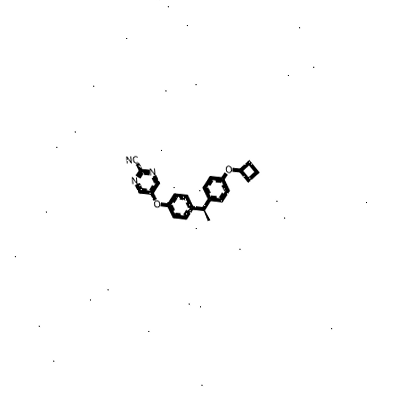 C[C@@H](c1ccc(Oc2cnc(C#N)nc2)cc1)c1ccc(OC2CCC2)cc1